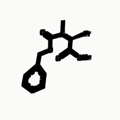 COC(=O)[C@H](C(C)C)N(C)C(=O)OCc1ccccc1